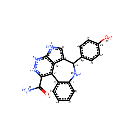 NC(=O)c1nnc2[nH]cc3c2c1-c1ccccc1NC3c1ccc(O)cc1